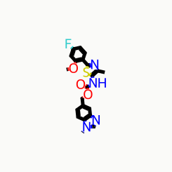 COc1cc(F)ccc1-c1nc(C)c(NC(=O)OCc2ccc3c(c2)ncn3C)s1